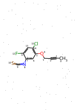 CC#CCOc1cc(N=C=S)c(F)cc1Cl